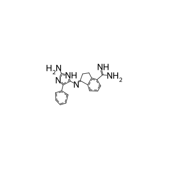 N=C(N)c1cccc2c1CCC2=Nc1[nH]c(N)nc1-c1ccccc1